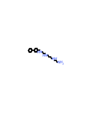 NCCCNCCCCNCCCNCc1ccc(-c2ccccc2)cc1